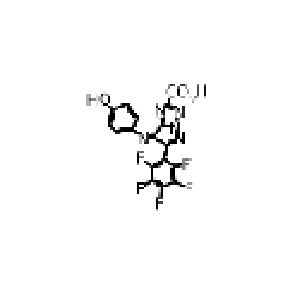 O=C(O)c1nc2n(n1)N=C(c1c(F)c(F)c(F)c(F)c1F)C2=Nc1ccc(O)cc1